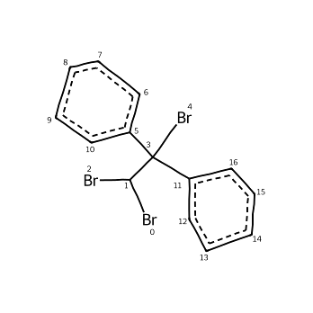 BrC(Br)C(Br)(c1ccccc1)c1ccccc1